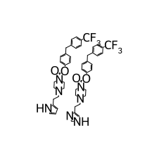 O=C(Oc1ccc(Cc2ccc(C(F)(F)F)cc2)cc1)N1CCN(CCc2c[nH]cn2)CC1.O=C(Oc1ccc(Cc2ccc(C(F)(F)F)cc2)cc1)N1CCN(CCc2ccc[nH]2)CC1